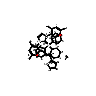 Cc1cc(C)c(-n2ccn(-c3c(C)cc(C)cc3C)c2=P(C2CCCCC2)(C2CCCCC2)C2CCCCC2=Cc2cccs2)c(C)c1.[Ru]